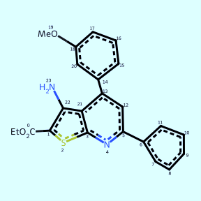 CCOC(=O)c1sc2nc(-c3ccccc3)cc(-c3cccc(OC)c3)c2c1N